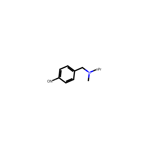 CCCN(C)Cc1ccc(N=O)cc1